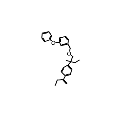 C=C(CC)c1ccc(C(C)(CC)COCc2cccc(Oc3ccccc3)c2)cc1